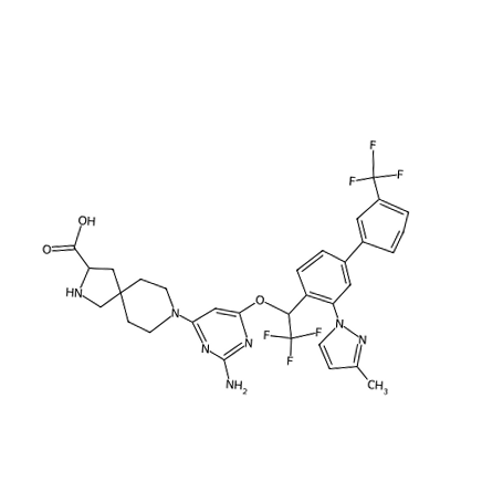 Cc1ccn(-c2cc(-c3cccc(C(F)(F)F)c3)ccc2C(Oc2cc(N3CCC4(CC3)CNC(C(=O)O)C4)nc(N)n2)C(F)(F)F)n1